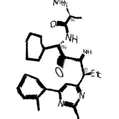 CC[C@H](C(=N)C(=O)[C@@H](NC(=O)[C@H](C)NC)C1CCCCC1)c1cc(-c2ccccc2C)nc(C)n1